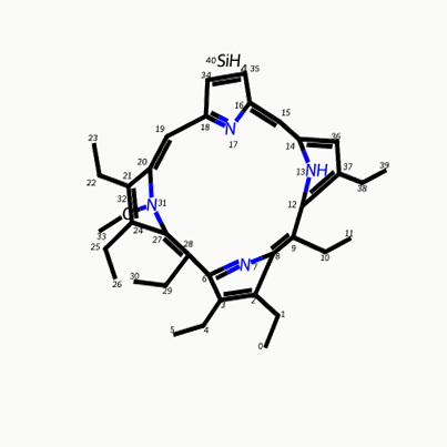 CCC1=C(CC)c2nc1c(CC)c1[nH]c(cc3nc(cc4c(CC)c(CC)c(c2CC)n4CC)C=C3)cc1CC.[SiH4]